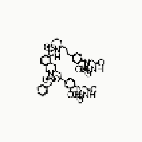 O=C1CN(c2ccc(CCC3CCCS(=O)(=O)N3)cc2O)S(=O)(=O)N1.O=C1CN(c2ccc(CCC3Cc4ccccc4CN3S(=O)(=O)Cc3ccccc3)cc2O)S(=O)(=O)N1